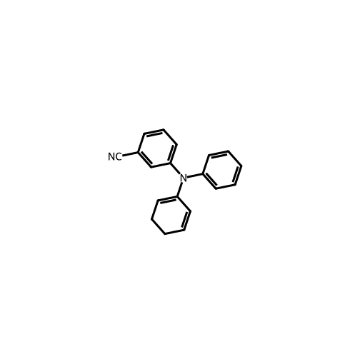 N#Cc1cccc(N(C2=CCCC=C2)c2ccccc2)c1